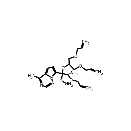 C=CCOCC(COCC=C)OC(ON)(c1ccc2c(N)ncnn12)[C@H](C)OCC=C